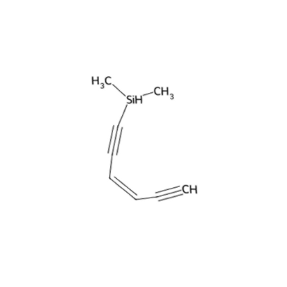 C#C/C=C\C#C[SiH](C)C